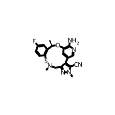 C[C@H]1Oc2cc(cnc2N)-c2c(nn(C)c2C#N)CN(C)Sc2ccc(F)cc21